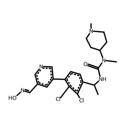 CC(NC(=O)N(C)C1CCN(C)CC1)c1ccc(-c2cncc(C=NO)c2)c(Cl)c1Cl